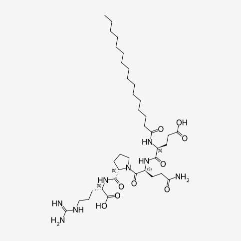 CCCCCCCCCCCCCCCC(=O)N[C@@H](CCC(=O)O)C(=O)N[C@@H](CCC(N)=O)C(=O)N1CCC[C@H]1C(=O)N[C@@H](CCCNC(=N)N)C(=O)O